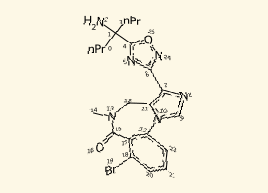 CCCC(N)(CCC)c1nc(-c2ncn3c2CN(C)C(=O)c2c(Br)cccc2-3)no1